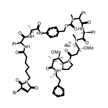 CC[C@@H](C)[C@@H]([C@@H](CC(=O)N1CCC[C@H]1[C@H](OC)[C@@H](C)C(=O)N[C@@H](C)Cc1ccccc1)OC)N(C)C(=O)[C@@H](NC(=O)C(C(C)C)N(C)C(=O)OCc1ccc(NC(=O)[C@@H](C)NC(=O)C(NC(=O)CCCCCN2C(=O)C=C(Br)C2=O)C(C)C)cc1)C(C)C